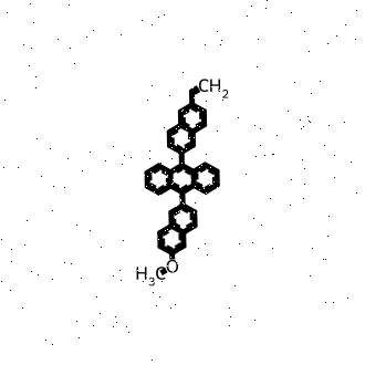 C=Cc1ccc2cc(-c3c4ccccc4c(-c4ccc5cc(OC)ccc5c4)c4ccccc34)ccc2c1